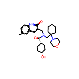 Cc1ccc2[nH]c(=O)c(CN(CC3(N4CCOCC4)CCCCC3)C(=O)[C@H]3CC[C@@H](O)CC3)cc2c1